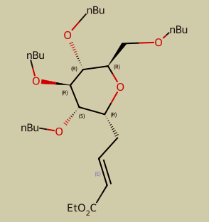 CCCCOC[C@H]1O[C@H](C/C=C/C(=O)OCC)[C@H](OCCCC)[C@@H](OCCCC)[C@@H]1OCCCC